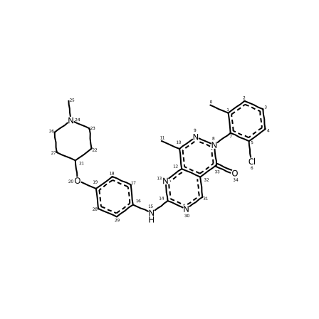 Cc1cccc(Cl)c1-n1nc(C)c2nc(Nc3ccc(OC4CCN(C)CC4)cc3)ncc2c1=O